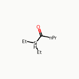 CCCC(=O)[SiH](CC)CC